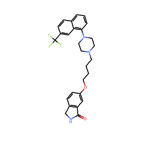 O=C1NCc2ccc(OCCCCN3CCN(c4cccc5ccc(C(F)(F)F)cc45)CC3)cc21